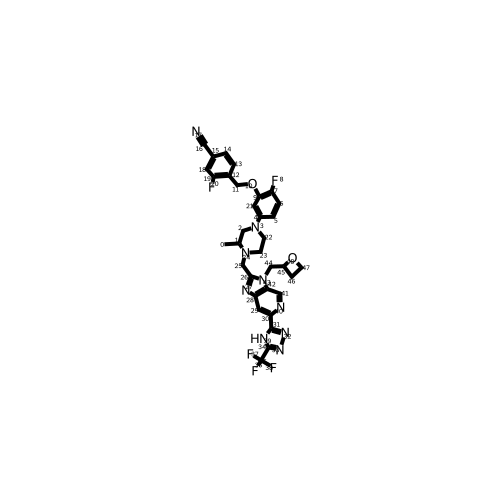 CC1CN(c2ccc(F)c(OCc3ccc(C#N)cc3F)c2)CCN1Cc1nc2cc(-c3nnc(C(F)(F)F)[nH]3)ncc2n1CC1CCO1